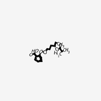 C=C(C)C(=O)OC(CC)CCCOOc1ccccc1C(=O)O